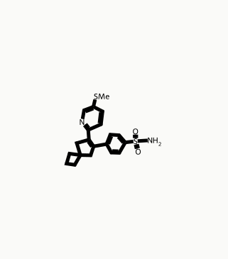 CSc1ccc(C2=C(c3ccc(S(N)(=O)=O)cc3)CC3(CCC3)C2)nc1